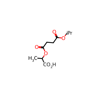 CC(C)OC(=O)CCC(=O)OC(C)C(=O)O